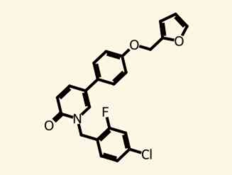 O=c1ccc(-c2ccc(OCc3ccco3)cc2)cn1Cc1ccc(Cl)cc1F